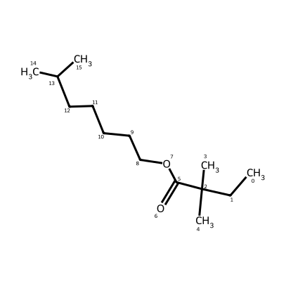 CCC(C)(C)C(=O)OCCCCCC(C)C